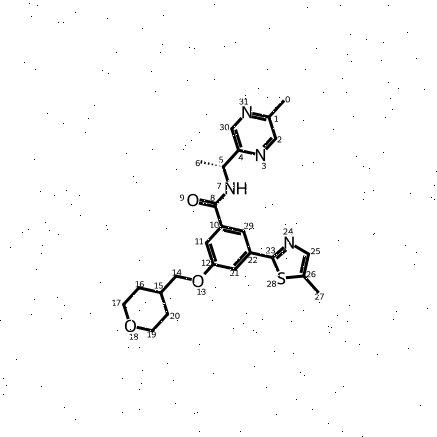 Cc1cnc([C@@H](C)NC(=O)c2cc(OCC3CCOCC3)cc(-c3ncc(C)s3)c2)cn1